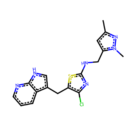 Cc1cc(CNc2nc(Cl)c(Cc3c[nH]c4ncccc34)s2)n(C)n1